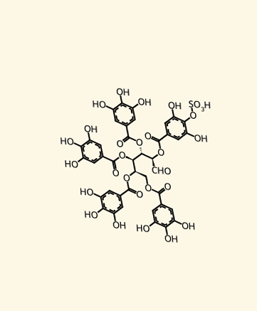 O=C[C@H](OC(=O)c1cc(O)c(OS(=O)(=O)O)c(O)c1)[C@@H](OC(=O)c1cc(O)c(O)c(O)c1)[C@H](OC(=O)c1cc(O)c(O)c(O)c1)[C@@H](COC(=O)c1cc(O)c(O)c(O)c1)OC(=O)c1cc(O)c(O)c(O)c1